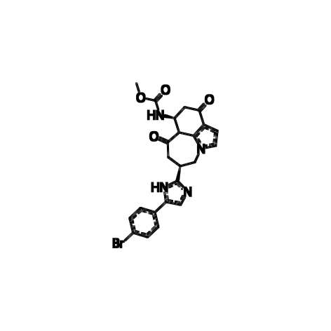 COC(=O)N[C@H]1CC(=O)c2ccn3c2C1C(=O)C[C@H](c1ncc(-c2ccc(Br)cc2)[nH]1)C3